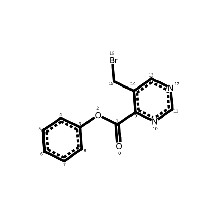 O=C(Oc1ccccc1)c1ncncc1CBr